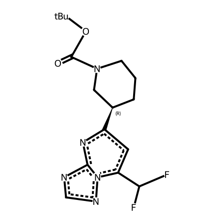 CC(C)(C)OC(=O)N1CCC[C@@H](c2cc(C(F)F)n3ncnc3n2)C1